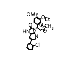 CCOc1cc(C(CS(C)(=O)=O)n2c(=O)[nH]c3cc(-c4ccccc4Cl)cnc32)ccc1OC